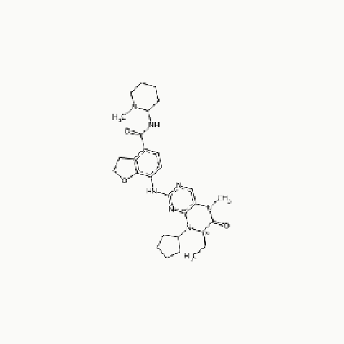 CC[C@@H]1C(=O)N(C)c2cnc(Nc3ccc(C(=O)NC4CCCCN4C)c4c3OCC4)nc2N1C1CCCC1